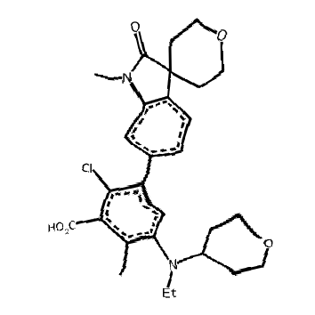 CCN(c1cc(-c2ccc3c(c2)N(C)C(=O)C32CCOCC2)c(Cl)c(C(=O)O)c1C)C1CCOCC1